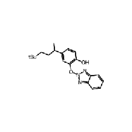 CC(CCC(C)(C)C)c1ccc(O)c(On2nc3ccccc3n2)c1